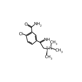 C[C@@H](CC(=N)c1ccc(Cl)c(C(N)=O)c1)N(C)C